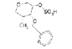 C[C@@H]1COCC(OS(=O)(=O)O)[C@@H]1OCc1ccccc1